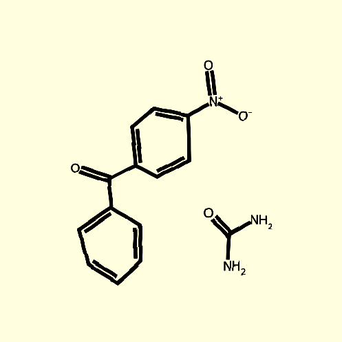 NC(N)=O.O=C(c1ccccc1)c1ccc([N+](=O)[O-])cc1